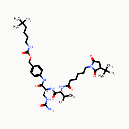 CC(C)[C@H](NC(=O)CCCCCN1C(=O)CC(C(C)(C)C)C1=O)C(=O)N[C@@H](CNC(N)=O)C(=O)Nc1ccc(COC(=O)NCCCCC(C)(C)C)cc1